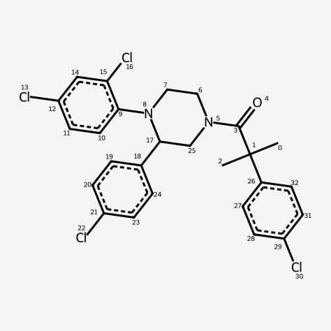 CC(C)(C(=O)N1CCN(c2ccc(Cl)cc2Cl)C(c2ccc(Cl)cc2)C1)c1ccc(Cl)cc1